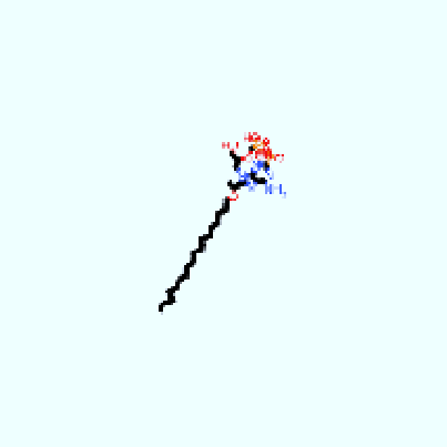 CCCCCCCCCCCCCCCCCCOC(C)c1nc2c(N)nc(P(=O)=O)nc2n1CC(CO)OCP(=O)(O)O